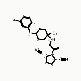 C#C[C@H]1CC[C@@H](C#N)N1C(=O)CNC1(C)CCC(Oc2cccc(F)c2)CC1